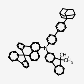 CC1(C)c2ccccc2-c2ccc(N(c3ccc(-c4ccc(C56CC7CC(CC(C7)C5)C6)cc4)cc3)c3ccc4c5c(cccc35)C3(c5ccccc5-c5ccccc53)c3ccccc3-4)cc21